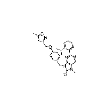 Cc1cc(COc2ccc(Cn3c(=O)n(C)c4cnc(-c5ccccc5C(C)C)nc43)cc2)no1